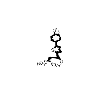 O=C(O)C(O)=CC(=O)c1ccc(-c2ccc(C(F)(F)F)cc2)s1